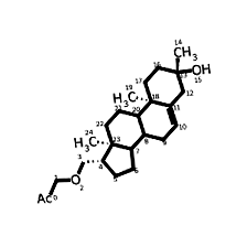 CC(=O)COC[C@H]1CCC2C3CC=C4C[C@@](C)(O)CC[C@]4(C)C3CC[C@@]21C